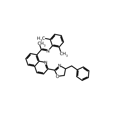 CC(=Nc1c(C)cccc1C)c1cccc2ccc(C3=NC(Cc4ccccc4)CO3)nc12